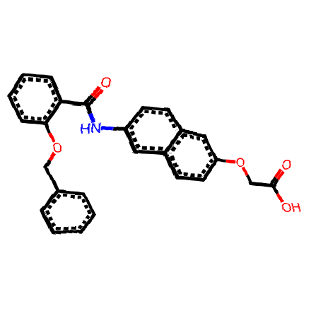 O=C(O)COc1ccc2cc(NC(=O)c3ccccc3OCc3ccccc3)ccc2c1